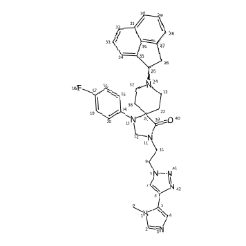 Cn1cncc1-c1cn(CCN2CN(c3ccc(F)cc3)C3(CCN([C@@H]4Cc5cccc6cccc4c56)CC3)C2=O)nn1